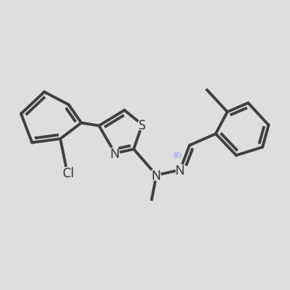 Cc1ccccc1/C=N/N(C)c1nc(-c2ccccc2Cl)cs1